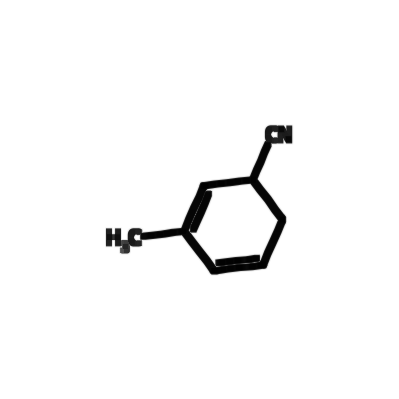 CC1=CC(C#N)CC=C1